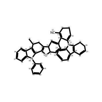 CC1CC2=C(OC3C=CC(C4=C(C#N)CCC=C4n4c5c(c6ccccc64)C=CCC5)=CC23)c2c1c1ccccc1n2-c1ccccc1